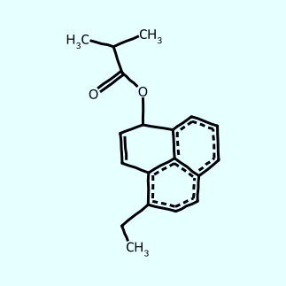 CCc1ccc2cccc3c2c1C=CC3OC(=O)C(C)C